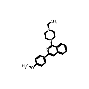 CCN1CCN(c2nc(-c3ccc(OC)cc3)cc3ccccc23)CC1